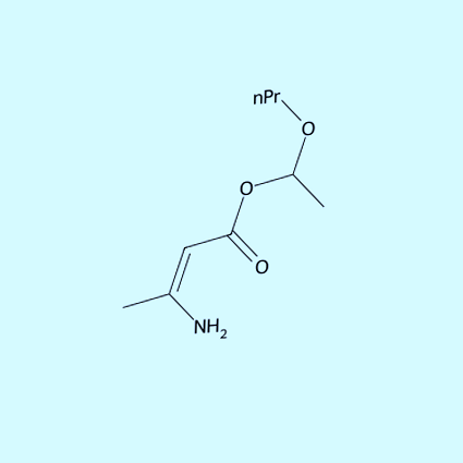 CCCOC(C)OC(=O)C=C(C)N